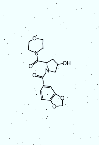 O=C(C1CC(O)CN1C(=O)c1ccc2c(c1)OCO2)N1CCOCC1